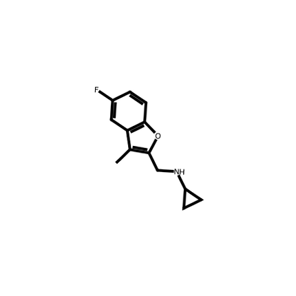 Cc1c(CNC2CC2)oc2ccc(F)cc12